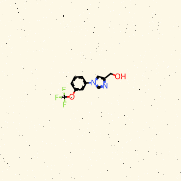 OCc1cn(-c2cccc(OC(F)(F)F)c2)cn1